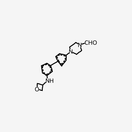 O=CN1CCN(c2ccc(-c3cccc(NC4COC4)c3)cc2)CC1